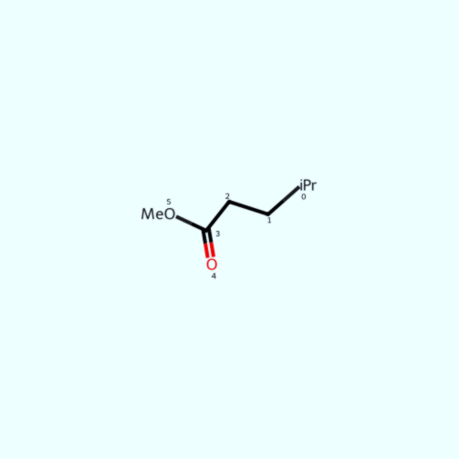 [CH2]C(C)CCC(=O)OC